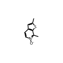 Cc1cc2cc[n+]([O-])c(C)c2s1